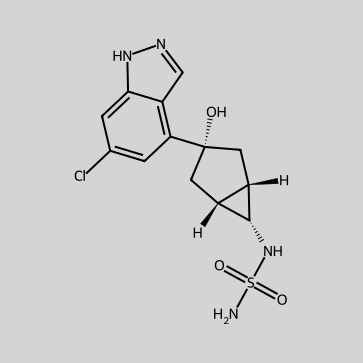 NS(=O)(=O)N[C@@H]1[C@@H]2C[C@@](O)(c3cc(Cl)cc4[nH]ncc34)C[C@@H]21